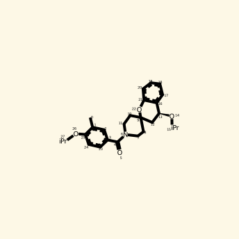 Cc1cc(C(=O)N2CCC3(CC2)C[C@H](OC(C)C)c2ccccc2O3)ccc1OC(C)C